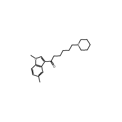 Cc1ccc2c(c1)c(C(=O)CCCCCN1CC[CH]CC1)cn2C